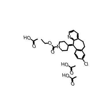 CC(=O)O.CC(=O)O.CC(=O)O.CCOC(=O)N1CCC(=C2c3ccc(Cl)cc3CCc3cccnc32)CC1